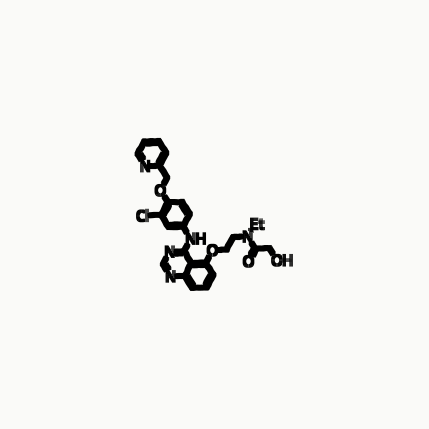 CCN(CCOc1cccc2ncnc(Nc3ccc(OCc4ccccn4)c(Cl)c3)c12)C(=O)CO